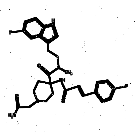 CN(CCc1c[nH]c2ccc(F)cc12)C(=O)C1(NC(=O)/C=C/c2ccc(F)cc2)CCN(CC(N)=O)CC1